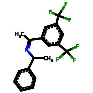 CC(=NC(C)c1ccccc1)c1cc(C(F)(F)F)cc(C(F)(F)F)c1